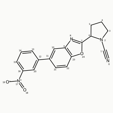 N#CN1CCCC1c1nc2cc(-c3cccc([N+](=O)[O-])c3)ccc2o1